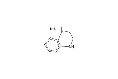 N.c1ccc2c(c1)NCCN2